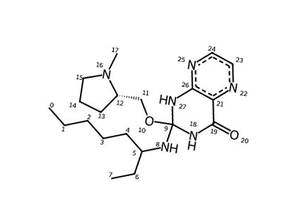 CCCCCC(CC)NC1(OC[C@@H]2CCCN2C)NC(=O)c2nccnc2N1